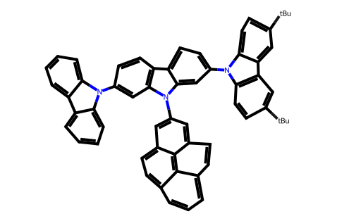 CC(C)(C)c1ccc2c(c1)c1cc(C(C)(C)C)ccc1n2-c1ccc2c3ccc(-n4c5ccccc5c5ccccc54)cc3n(-c3cc4ccc5cccc6ccc(c3)c4c56)c2c1